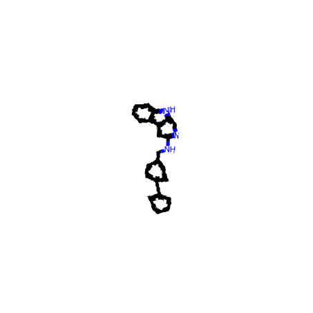 c1ccc(-c2ccc(CNc3cc4c(cn3)[nH]c3ccccc34)cc2)cc1